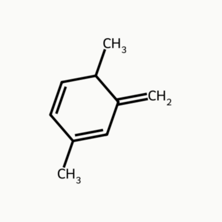 C=C1C=C(C)C=CC1C